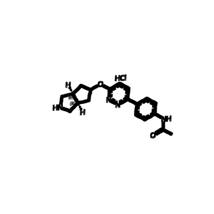 CC(=O)Nc1ccc(-c2ccc(OC3C[C@H]4CNC[C@H]4C3)nn2)cc1.Cl